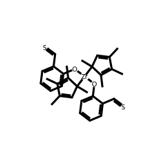 CC1=C[C](C)([Zr]([O]c2ccccc2C=S)([O]c2ccccc2C=S)[C]2(C)C=C(C)C(C)=C2C)C(C)=C1C